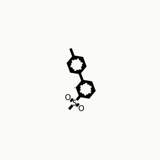 Cc1ccc(-c2[c]c(S(C)(=O)=O)ccc2)cc1